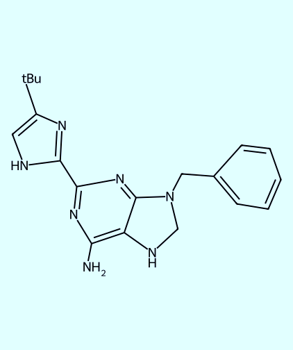 CC(C)(C)c1c[nH]c(-c2nc(N)c3c(n2)N(Cc2ccccc2)CN3)n1